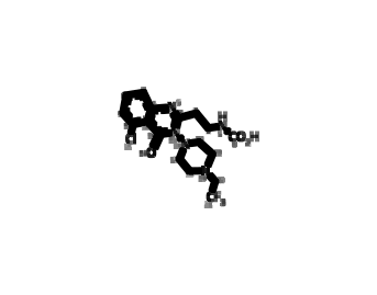 O=C(O)NCCc1nc2cccc(Cl)c2c(=O)n1N1CCN(CC(F)(F)F)CC1